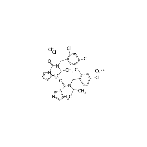 CC(C)N(Cc1ccc(Cl)cc1Cl)C(=O)n1ccnc1.CC(C)N(Cc1ccc(Cl)cc1Cl)C(=O)n1ccnc1.[Cl-].[Cl-].[Cu+2]